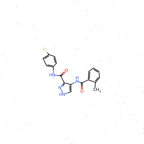 Cc1ccccc1C(=O)Nc1c[nH]nc1C(=O)Nc1ccc(F)cc1